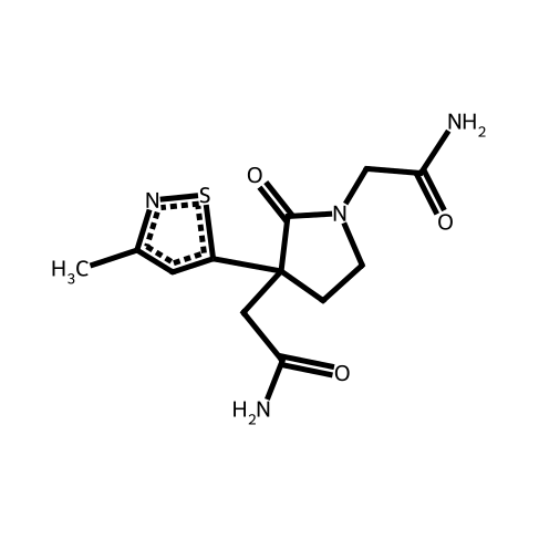 Cc1cc(C2(CC(N)=O)CCN(CC(N)=O)C2=O)sn1